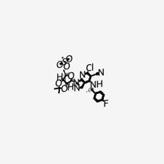 C[C@H](Nc1c(C#N)c(Cl)nc2c1cnn2[C@@H]1O[C@H](COS(C)(=O)=O)[C@H]2OC(C)(C)O[C@H]21)c1ccc(F)cc1